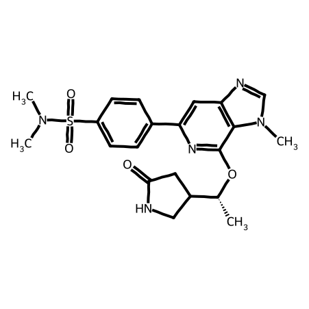 C[C@@H](Oc1nc(-c2ccc(S(=O)(=O)N(C)C)cc2)cc2ncn(C)c12)C1CNC(=O)C1